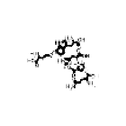 CSCCC(N)C(=O)O.NC(=O)CCC(N)C(=O)O.NC(Cc1c[nH]c2ccccc12)C(=O)O.NC(Cc1c[nH]cn1)C(=O)O.O=C(O)[C@@H]1CCCN1